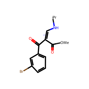 COC(=O)/C(=C\NC(C)C)C(=O)c1cccc(Br)c1